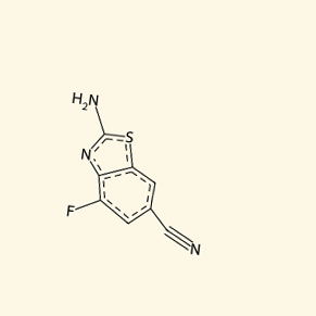 N#Cc1cc(F)c2nc(N)sc2c1